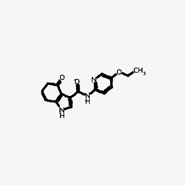 CCOc1ccc(NC(=O)c2c[nH]c3c2C(=O)CCC3)nc1